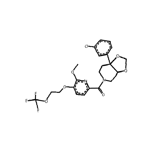 COc1nc(C(=O)N2CCC3(c4cccc(Cl)c4)OCOC3C2)ccc1OCCOC(F)(F)F